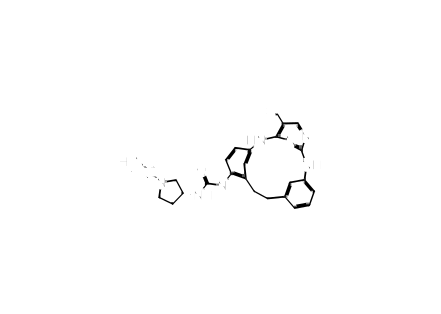 NS(=O)(=O)N1CC[C@@H](NC(=O)Nc2ccc3cc2CCc2cccc(c2)Nc2ncc(Cl)c(n2)N3)C1